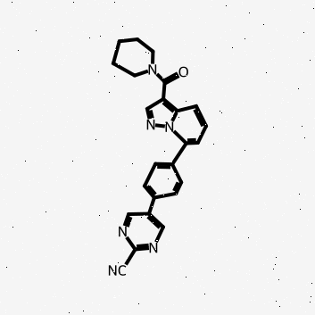 N#Cc1ncc(-c2ccc(-c3cccc4c(C(=O)N5CCCCC5)cnn34)cc2)cn1